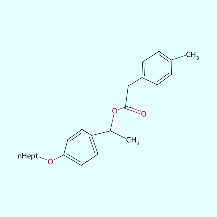 CCCCCCCOc1ccc(C(C)OC(=O)Cc2ccc(C)cc2)cc1